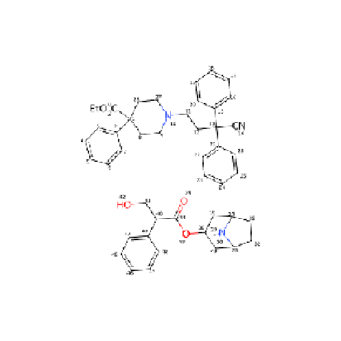 CCOC(=O)C1(c2ccccc2)CCN(CCC(C#N)(c2ccccc2)c2ccccc2)CC1.CN1C2CCC1CC(OC(=O)C(CO)c1ccccc1)C2